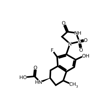 CC1C[C@@H](NC(=O)O)Cc2c1cc(O)c(N1CC(=O)NS1(=O)=O)c2F